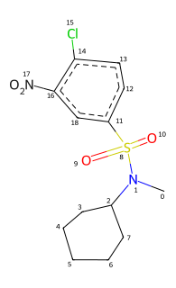 CN(C1CCCCC1)S(=O)(=O)c1ccc(Cl)c([N+](=O)[O-])c1